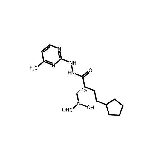 O=CN(O)C[C@@H](CCC1CCCC1)C(=O)NNc1nccc(C(F)(F)F)n1